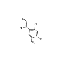 Cc1cc(/C(Cl)=C/Cl)c(Cl)cc1Cl